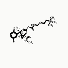 CNC(=O)[C@]12C[C@H]1[C@@](C)(c1cc(Br)ccc1F)N=C(OC(=O)NCOCC[Si](C)(C)C)S2